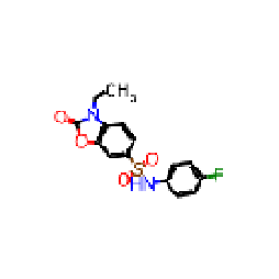 CCn1c(=O)oc2cc(S(=O)(=O)Nc3ccc(F)cc3)ccc21